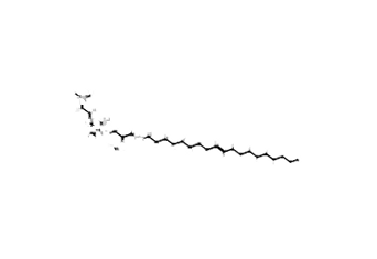 CCCCCCCCCC=CCCCCCCCCOCC(COP(=O)(O)OCCN(C)C)OC